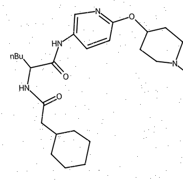 CCCCC(NC(=O)CC1CCCCC1)C(=O)Nc1ccc(OC2CCN(C)CC2)nc1